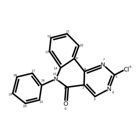 O=c1c2cnc(Cl)nc2c2ccccc2n1-c1ccccc1